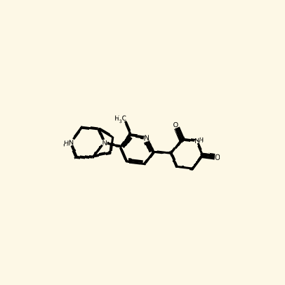 Cc1nc(C2CCC(=O)NC2=O)ccc1N1C2CCC1CNC2